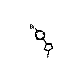 FC1CC=C(c2ccc(Br)cc2)C1